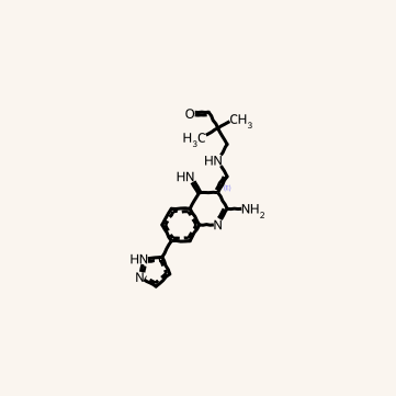 CC(C)(C=O)CN/C=C1\C(=N)c2ccc(-c3ccn[nH]3)cc2N=C1N